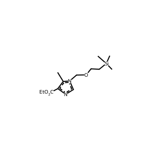 CCOC(=O)c1ncn(COCC[Si](C)(C)C)c1C